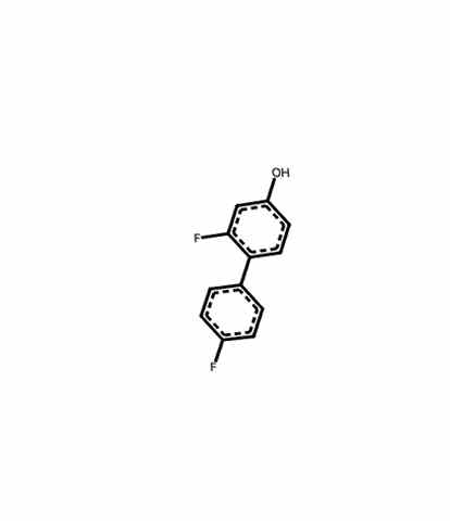 Oc1ccc(-c2ccc(F)cc2)c(F)c1